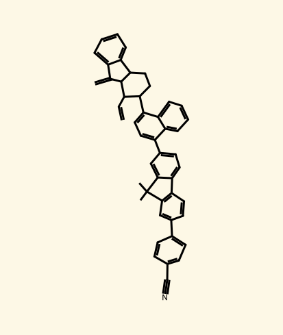 C=CC1C(c2ccc(-c3ccc4c(c3)C(C)(C)c3cc(-c5ccc(C#N)cc5)ccc3-4)c3ccccc23)CCC2c3ccccc3C(=C)C21